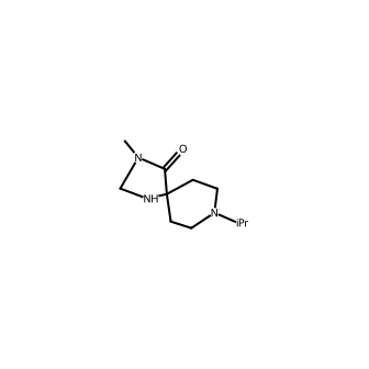 CC(C)N1CCC2(CC1)NCN(C)C2=O